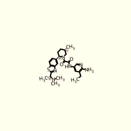 CCc1cc(NC(=O)C(=O)N2C[C@@H](C)CC[C@@H]2c2ccc3sc([C@@H](C)N(C)C)nc3c2)cnc1N